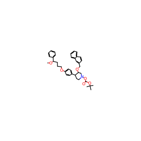 COC(CCCOc1ccc(C2CCN(OC(=O)OC(C)(C)C)CC2OCc2ccc3ccccc3c2)cc1)c1ccccc1